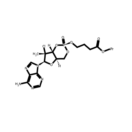 CC(C)OC(=O)CCCO[P@@]1(=O)OC[C@H]2O[C@@H](n3cnc4c(N)ncnc43)[C@](C)(Cl)[C@@H]2O1